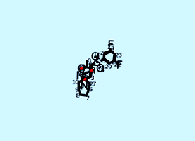 Cc1ccc(N2C3CCC2CN(C(=O)CCS(=O)(=O)c2cc(F)cc(F)c2)C3)nc1